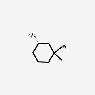 CC(C)C1(C)CCC[C@H](C(F)(F)F)C1